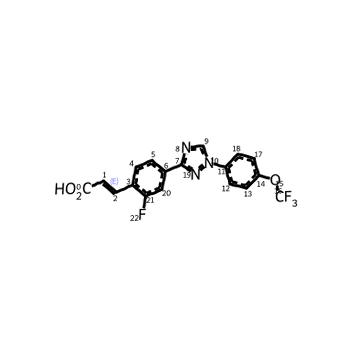 O=C(O)/C=C/c1ccc(-c2ncn(-c3ccc(OC(F)(F)F)cc3)n2)cc1F